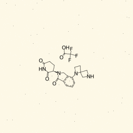 O=C(O)C(F)(F)F.O=C1CC[C@@H](N2Cc3c(cccc3N3CCC34CNC4)C2=O)C(=O)N1